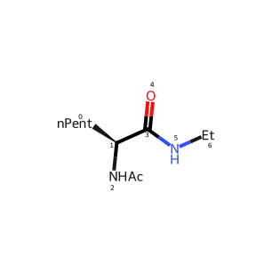 CCCCC[C@H](NC(C)=O)C(=O)NCC